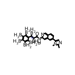 B/C(C(=O)Nc1cc2cc(-c3cnc(C)n3C)ccc2cn1)=C(/B)c1c(B)c(B)c(B)c(B)c1B